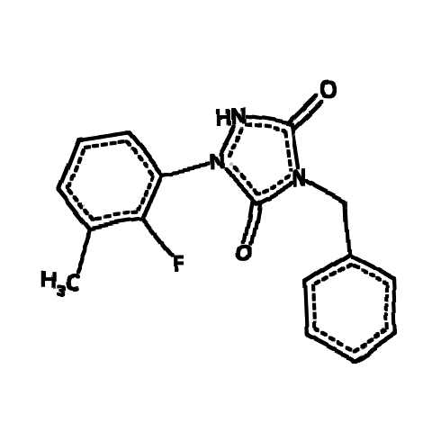 Cc1cccc(-n2[nH]c(=O)n(Cc3ccccc3)c2=O)c1F